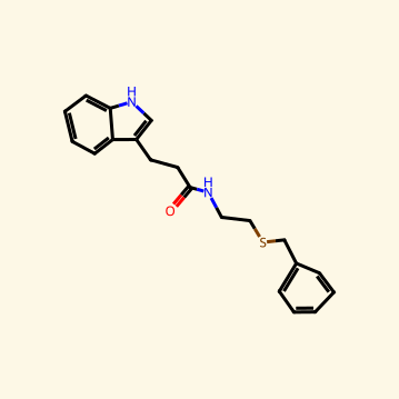 O=C(CCc1c[nH]c2ccccc12)NCCSCc1ccccc1